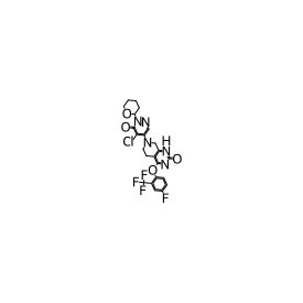 O=c1nc(Oc2ccc(F)cc2C(F)(F)F)c2c([nH]1)CN(c1cnn(C3CCCCO3)c(=O)c1Cl)CC2